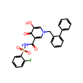 O=C(NS(=O)(=O)c1ccccc1F)c1cn(Cc2ccccc2-c2ccccc2)cc(O)c1=O